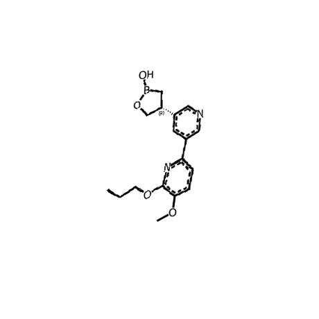 CCCOc1nc(-c2cncc([C@@H]3COB(O)C3)c2)ccc1OC